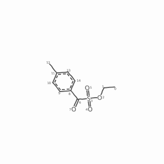 CCOS(=O)(=O)C(=O)c1ccc(C)cc1